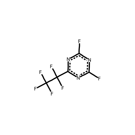 Fc1nc(F)nc(C(F)(F)C(F)(F)F)n1